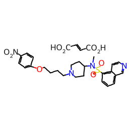 CN(C1CCN(CCCCOc2ccc([N+](=O)[O-])cc2)CC1)S(=O)(=O)c1cccc2cnccc12.O=C(O)C=CC(=O)O